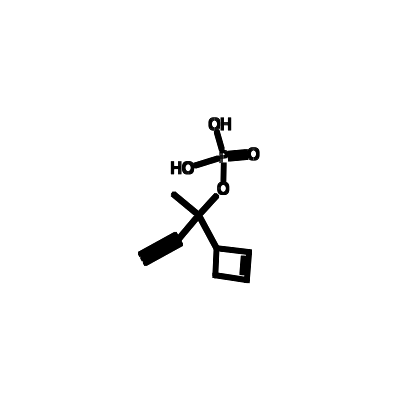 C#CC(C)(OP(=O)(O)O)C1C=CC1